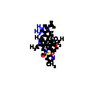 Cc1cnc2c(c1)[S+]([O-])N(Cc1cc(C(c3ccc(N(N)C4CC4)c(N)c3C)C(C)(C)C(=O)O)cnc1C)CC1(CCOCC1)O2